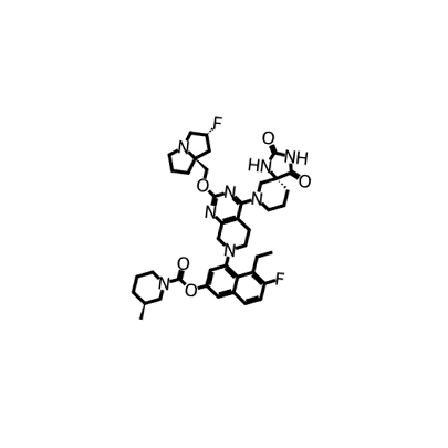 CCc1c(F)ccc2cc(OC(=O)N3CCC[C@H](C)C3)cc(N3CCc4c(nc(OC[C@@]56CCCN5C[C@H](F)C6)nc4N4CCC[C@]5(C4)NC(=O)NC5=O)C3)c12